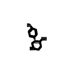 O[C@H]1CCNC[C@@H]1c1ccc(Br)cc1